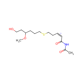 COC(CCO)CCCSCC/C=C\C(=O)NC(C)=O